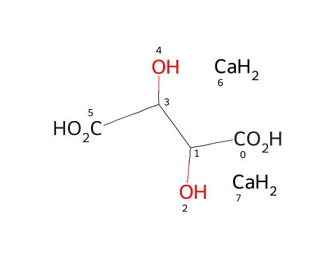 O=C(O)C(O)C(O)C(=O)O.[CaH2].[CaH2]